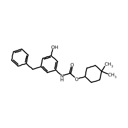 CC1(C)CCC(OC(=O)Nc2cc(O)cc(Cc3ccccc3)c2)CC1